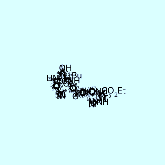 CCOC(=O)c1c(C)nc(Nc2cnn(C)c2)nc1NC1CCC(N2CCN(C(=O)C3CCC(C(=O)N[C@H](C(=O)N4C[C@H](O)C[C@H]4C(=O)N[C@@H](C)c4ccc(-c5scnc5C)cc4)C(C)(C)C)CC3)CC2)CC1